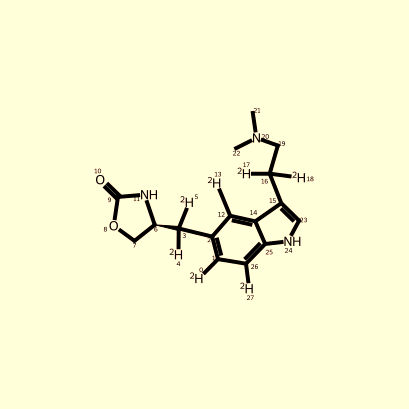 [2H]c1c(C([2H])([2H])[C@H]2COC(=O)N2)c([2H])c2c(C([2H])([2H])CN(C)C)c[nH]c2c1[2H]